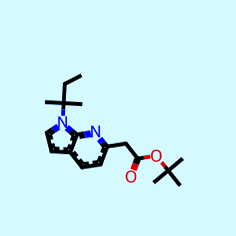 CCC(C)(C)n1ccc2ccc(CC(=O)OC(C)(C)C)nc21